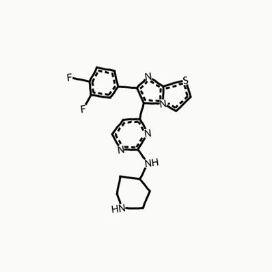 Fc1ccc(-c2nc3sccn3c2-c2ccnc(NC3CCNCC3)n2)cc1F